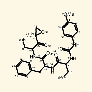 COc1ccc(NC(=O)NC(CC(C)C)C(=O)N[C@@H](Cc2ccccc2)C(=O)NC(CC(C)C)C(=O)[C@@]2(C)CO2)cc1